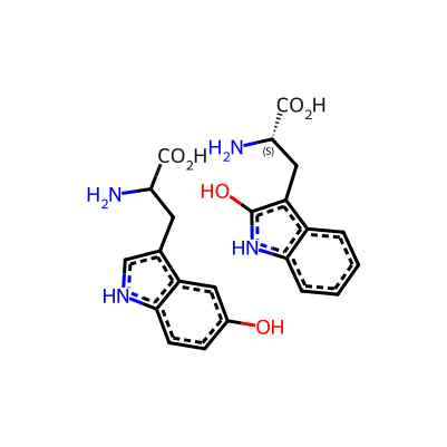 NC(Cc1c[nH]c2ccc(O)cc12)C(=O)O.N[C@@H](Cc1c(O)[nH]c2ccccc12)C(=O)O